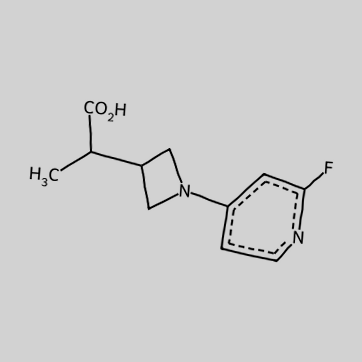 CC(C(=O)O)C1CN(c2ccnc(F)c2)C1